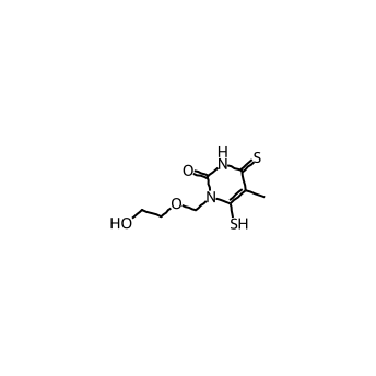 Cc1c(S)n(COCCO)c(=O)[nH]c1=S